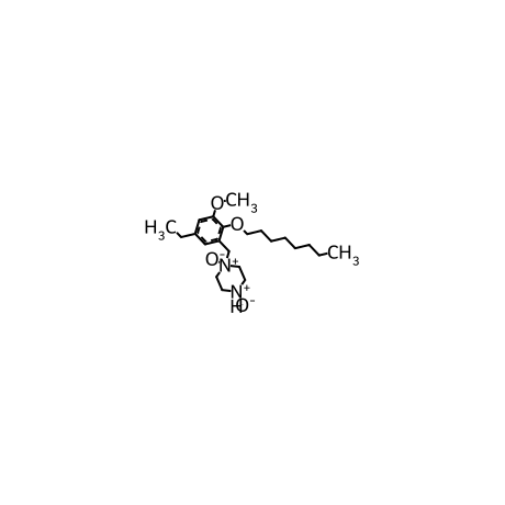 CCCCCCCCOc1c(C[N+]2([O-])CC[NH+]([O-])CC2)cc(CC)cc1OC